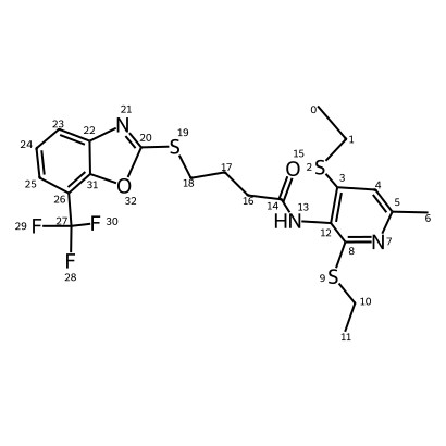 CCSc1cc(C)nc(SCC)c1NC(=O)CCCSc1nc2cccc(C(F)(F)F)c2o1